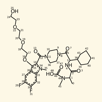 CC(C(=O)NC(C(=O)N1CCN(C(=O)c2c(OCCOCCOCCO)c3cc(F)c(F)cc3n2C)CC1)C1CCCCC1)N(C)C(=O)O